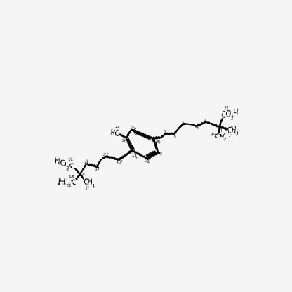 CC(C)(CCCCCc1ccc(CCCCC(C)(C)C(=O)O)c(O)c1)C(=O)O